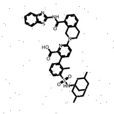 Cc1c(-c2ccc(N3CCc4cccc(C(=O)Nc5nc6ccccc6s5)c4C3)nc2C(=O)O)cccc1S(=O)(=O)NC12CC(C)CC(CC(C)C1)C2